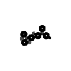 Cc1ccc(N(c2ccccc2)c2ccc3c(c2)sc2cc4c(cc23)Oc2cccc3c2B4c2ccccc2O3)cc1